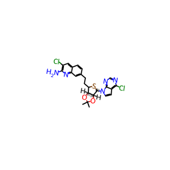 CC1(C)O[C@@H]2[C@H](O1)C(CCc1ccc3cc(Cl)c(N)nc3c1)S[C@H]2n1ccc2c(Cl)ncnc21